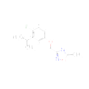 Cc1nc(COc2ccc(F)c(C(C)C)c2)no1